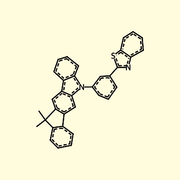 CC1(C)c2ccccc2-c2cc3c(cc21)c1ccccc1n3-c1cccc(-c2nc3ccccc3s2)c1